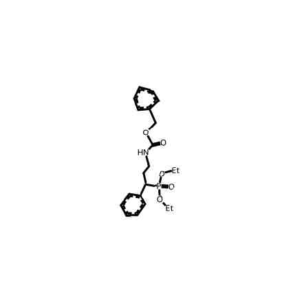 CCOP(=O)(OCC)C(CCNC(=O)OCc1ccccc1)c1ccccc1